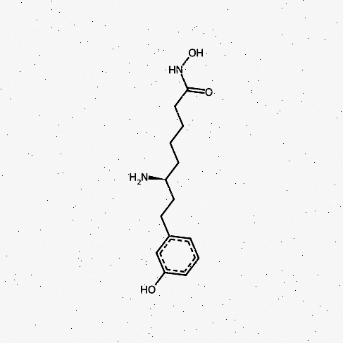 N[C@@H](CCCCC(=O)NO)CCc1cccc(O)c1